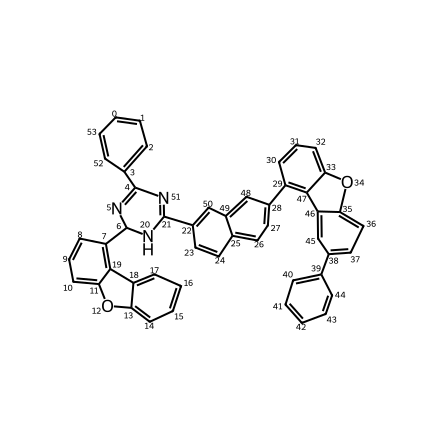 c1ccc(C2=NC(c3cccc4oc5ccccc5c34)NC(c3ccc4ccc(-c5cccc6oc7ccc(-c8ccccc8)cc7c56)cc4c3)=N2)cc1